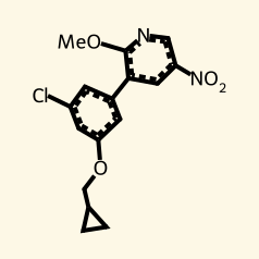 COc1ncc([N+](=O)[O-])cc1-c1cc(Cl)cc(OCC2CC2)c1